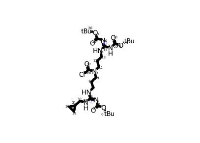 CC(C)(C)OC(=O)/N=C(/NCCCN(CCCN/C(=N\C(=O)OC(C)(C)C)NC(=O)OC(C)(C)C)C(=O)Cl)NCC1CC1